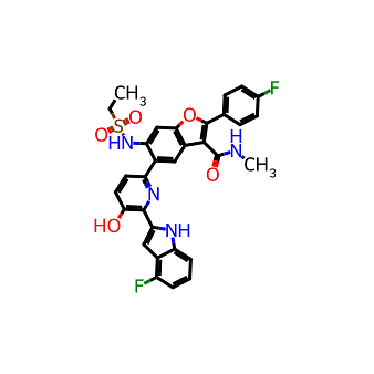 CCS(=O)(=O)Nc1cc2oc(-c3ccc(F)cc3)c(C(=O)NC)c2cc1-c1ccc(O)c(-c2cc3c(F)cccc3[nH]2)n1